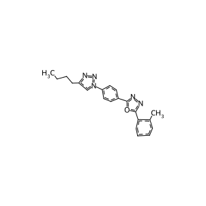 CCCCc1cn(-c2ccc(-c3nnc(-c4ccccc4C)o3)cc2)nn1